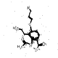 CCCc1c(OCCCBr)ccc(C(C)=O)c1OC(C)=O